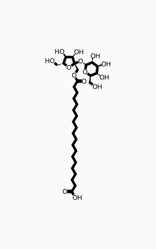 O=C(O)CCCCCCCCCCCCCCCCCCC(=O)OC[C@@]1(O[C@H]2O[C@H](CO)[C@@H](O)[C@H](O)[C@H]2O)O[C@H](CO)[C@@H](O)[C@@H]1O